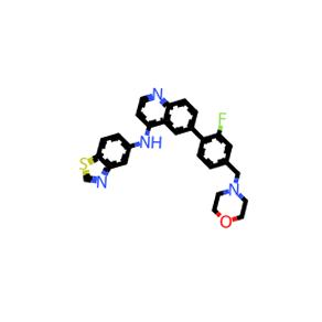 Fc1cc(CN2CCOCC2)ccc1-c1ccc2nccc(Nc3ccc4scnc4c3)c2c1